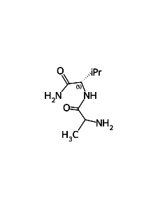 CC(N)C(=O)N[C@H](C(N)=O)C(C)C